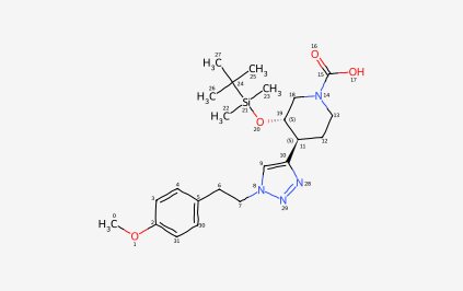 COc1ccc(CCn2cc([C@@H]3CCN(C(=O)O)C[C@H]3O[Si](C)(C)C(C)(C)C)nn2)cc1